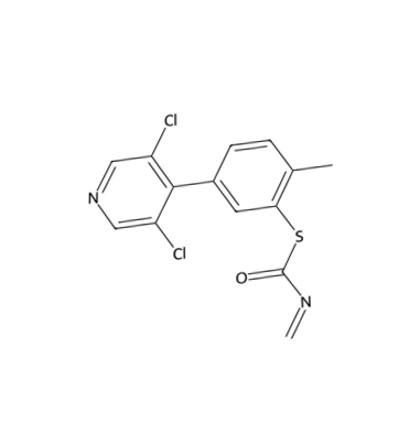 C=NC(=O)Sc1cc(-c2c(Cl)cncc2Cl)ccc1C